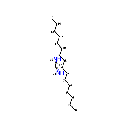 CCCCCCCCCCCCCCCC.N=C=N